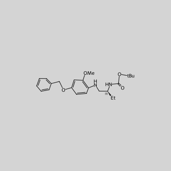 CC[C@@H](CNc1ccc(OCc2ccccc2)cc1OC)NC(=O)OC(C)(C)C